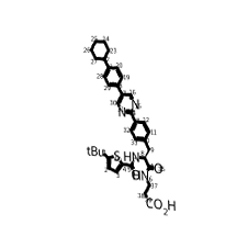 CC(C)(C)c1ccc(C(=O)N[C@@H](Cc2ccc(-c3ncc(-c4ccc(C5CCCCC5)cc4)cn3)cc2)C(=O)NCCC(=O)O)s1